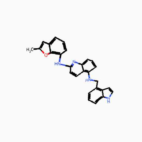 Cc1cc2cccc(Nc3ccc4c(NCc5cccc6[nH]ccc56)cccc4n3)c2o1